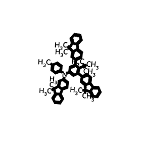 Cc1ccc(N(c2cc(-c3ccc4c(c3)C(C)(C)c3ccccc3-4)c(C(C)(C)C)c(-c3ccc4c(c3)C(C)(C)c3ccccc3-4)c2)c2ccc3c(c2)C(C)(C)c2ccccc2-3)cc1